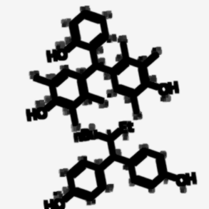 CCCCC(CC)C(c1ccc(O)cc1)c1ccc(O)cc1.Cc1cc(C(c2ccccc2O)c2cc(C)c(O)c(C)c2C)c(C)c(C)c1O